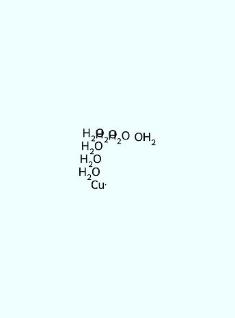 O.O.O.O.O.O.O.[Cu]